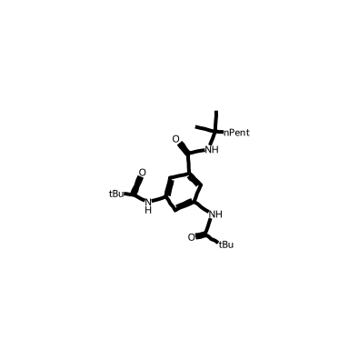 CCCCCC(C)(C)NC(=O)c1cc(NC(=O)C(C)(C)C)cc(NC(=O)C(C)(C)C)c1